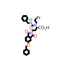 CC(C)CCN(C(=O)NCc1ccccc1)[C@H](CCN1C(=O)c2ccc(OCc3ccccc3)cc2C1=O)C(=O)O